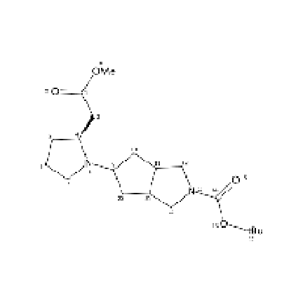 COC(=O)C[C@@H]1CCCN1C1CC2CN(C(=O)OC(C)(C)C)CC2C1